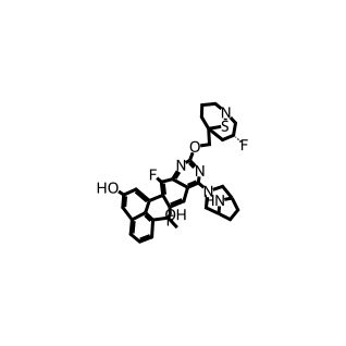 CC(O)c1cccc2cc(O)cc(-c3c(F)cc4c(N5CC6CCC(C5)N6)nc(OCC56CCCN(C[C@H](F)C5)S6)nc4c3F)c12